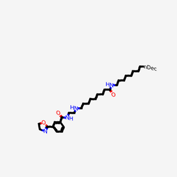 CCCCCCCCCCCCCCCCCCNC(=O)CCCCCCCCNCCNC(=O)c1cccc(C2=NCCO2)c1